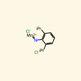 CC(C)c1cccc(C(C)C)c1[N]=[Mn+2].[Cl-].[Cl-]